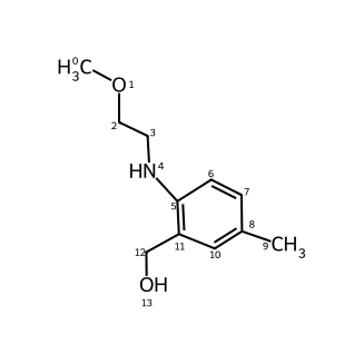 COCCNc1ccc(C)cc1CO